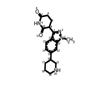 Cn1nc(C2CCC(=O)NC2=O)c2ccc(C3CCCNC3)cc21